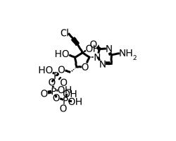 Nc1cnn([C@@H]2O[C@H](COP(=O)(O)OP(=O)(O)OP(=O)(O)O)C(O)[C@]2(O)C#CCl)c(=O)n1